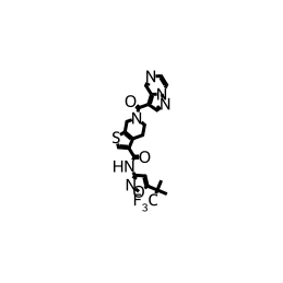 CC(C)(c1cc(NC(=O)c2csc3c2CCN(C(=O)c2cnn4ccncc24)C3)no1)C(F)(F)F